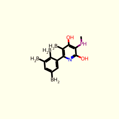 Bc1cc(B)c(B)c(-c2nc(O)c(PC)c(O)c2B)c1